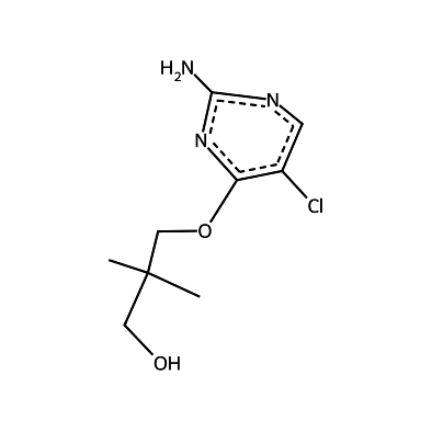 CC(C)(CO)COc1nc(N)ncc1Cl